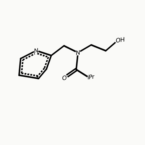 CC(C)C(=O)N(CCO)Cc1ccccn1